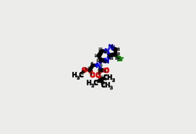 COC(=O)CN(C(=O)OC(C)(C)C)c1ccn2ncc(Br)c2n1